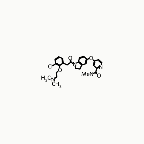 CNC(=O)c1cc(Oc2ccc3c(c2)CCN3C(=O)Cc2cccc(Cl)c2OCCN(C)C)ccn1